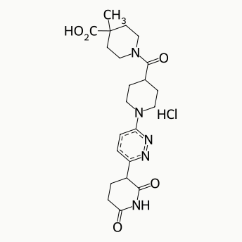 CC1(C(=O)O)CCN(C(=O)C2CCN(c3ccc(C4CCC(=O)NC4=O)nn3)CC2)CC1.Cl